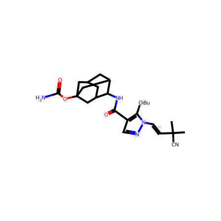 CC(C)COc1c(C(=O)NC2C3CC4CC2CC(OC(N)=O)(C4)C3)cnn1/C=C/C(C)(C)C#N